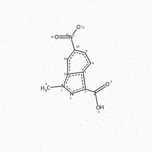 Cn1nc(C(=O)O)c2ccc([N+](=O)[O-])cc21